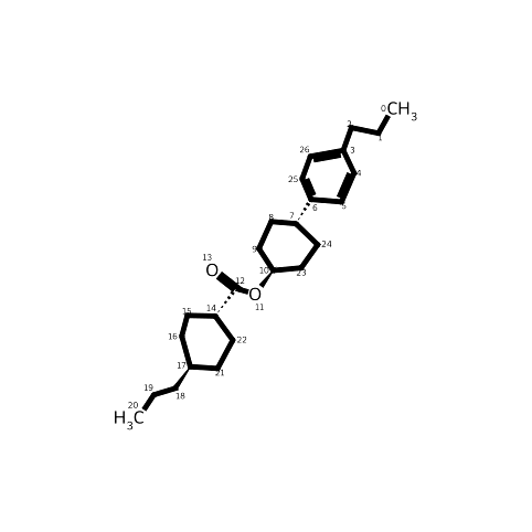 CCCc1ccc([C@H]2CC[C@H](OC(=O)[C@H]3CC[C@H](CCC)CC3)CC2)cc1